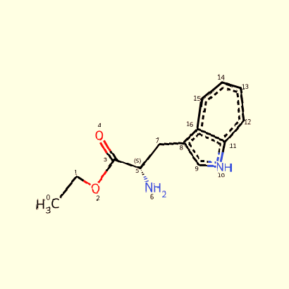 CCOC(=O)[C@@H](N)Cc1c[nH]c2ccccc12